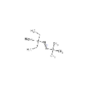 CCC(C#N)(CC)/N=N/C(C)(C)C